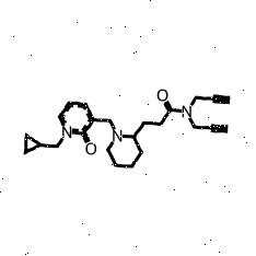 C#CCN(CC#C)C(=O)CCC1CCCCN1Cc1cccn(CC2CC2)c1=O